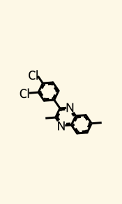 Cc1ccc2nc(C)c(-c3ccc(Cl)c(Cl)c3)nc2c1